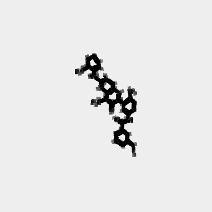 Cc1ccc(NC(=O)c2cccc(CF)c2)cc1-c1nc2cnc(Nc3cccnc3C)nc2n(C)c1=O